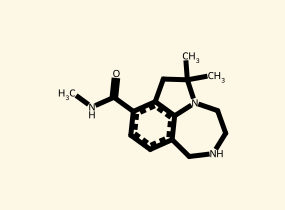 CNC(=O)c1ccc2c3c1CC(C)(C)N3CCNC2